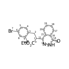 CCOC(=O)C(Cc1ccc(Br)cc1F)c1n[nH]c(=O)c2ccccc12